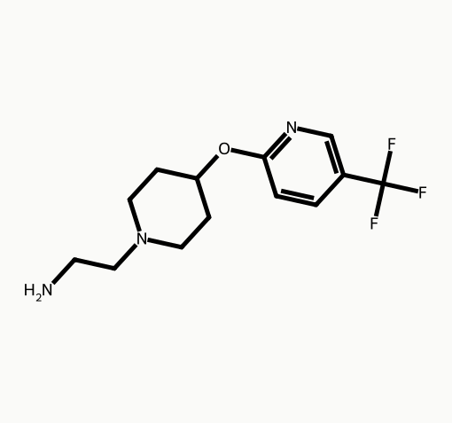 NCCN1CCC(Oc2ccc(C(F)(F)F)cn2)CC1